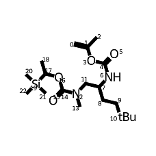 C=C(C)OC(=O)NC(CCC(C)(C)C)CN(C)C(=O)OC(C)[Si](C)(C)C